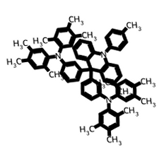 Cc1ccc(N2c3ccccc3C(c3cccc(N(c4cc(C)c(C)cc4C)c4cc(C)c(C)cc4C)c3)(c3cccc(N(c4cc(C)c(C)cc4C)c4cc(C)c(C)cc4C)c3)c3cc(C)ccc32)cc1